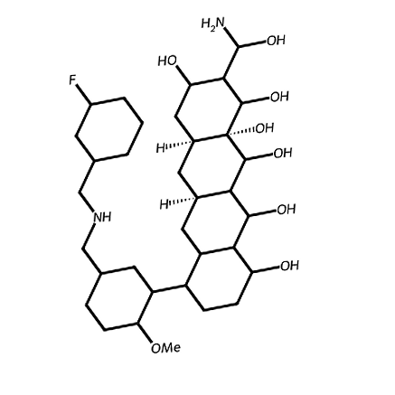 COC1CCC(CNCC2CCCC(F)C2)CC1C1CCC(O)C2C(O)C3C(O)[C@]4(O)C(O)C(C(N)O)C(O)C[C@@H]4C[C@@H]3CC12